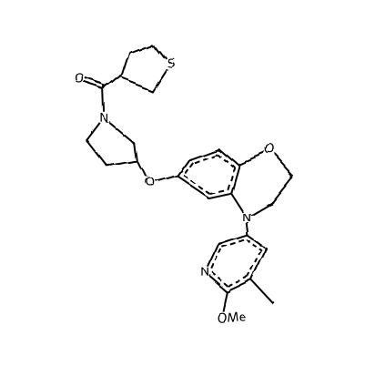 COc1ncc(N2CCOc3ccc(OC4CCN(C(=O)C5CCSC5)C4)cc32)cc1C